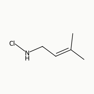 CC(C)=CCNCl